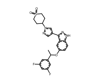 CC(Oc1ccc2[nH]nc(-c3cnn(C4CCS(=O)(=O)CC4)c3)c2c1)c1cc(F)cc(F)c1